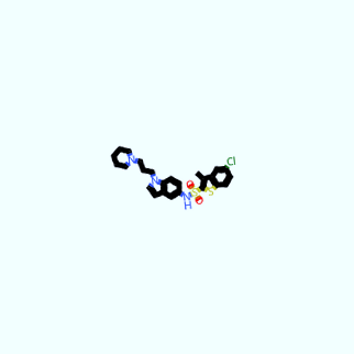 Cc1c(S(=O)(=O)Nc2ccc3c(ccn3CCCN3CCCCC3)c2)sc2ccc(Cl)cc12